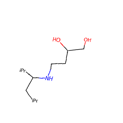 CC(C)CC(NCCC(O)CO)C(C)C